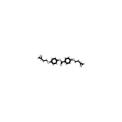 O=C(Oc1ccc(OCCC2CO2)cc1)c1ccc(OCCC2CO2)cc1